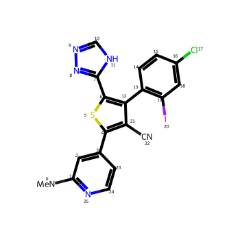 CNc1cc(-c2sc(-c3nnc[nH]3)c(-c3ccc(Cl)cc3I)c2C#N)ccn1